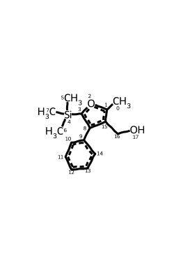 Cc1oc([Si](C)(C)C)c(-c2ccccc2)c1CO